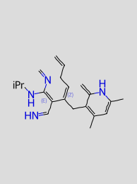 C=CC/C=C(CC1=C(C)C=C(C)NC1=C)\C(C=N)=C(/N=C)NC(C)C